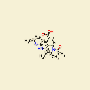 CC(=O)N1c2ccc(C(=O)O)cc2C(Nc2cccc(C)n2)[C@@H](C)[C@@H]1C